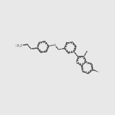 Cc1c(-c2cccc(COc3ccc(CCC(=O)O)cc3)c2)sc2ccc(Cl)cc12